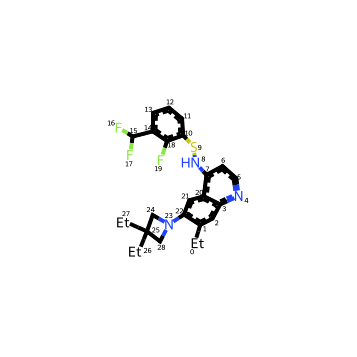 CCc1cc2nccc(NSc3cccc(C(F)F)c3F)c2cc1N1CC(CC)(CC)C1